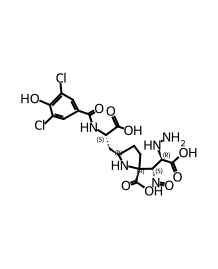 NN[C@@H](C(=O)O)[C@H](N=O)[C@@]1(C(=O)O)CC[C@H](C[C@H](NC(=O)c2cc(Cl)c(O)c(Cl)c2)C(=O)O)N1